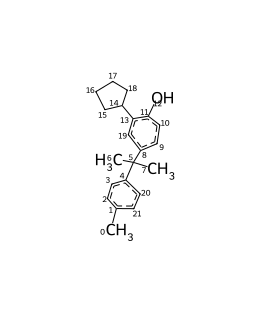 Cc1ccc(C(C)(C)c2ccc(O)c(C3CCCC3)c2)cc1